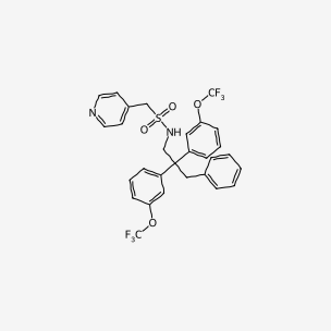 O=S(=O)(Cc1ccncc1)NCC(Cc1ccccc1)(c1cccc(OC(F)(F)F)c1)c1cccc(OC(F)(F)F)c1